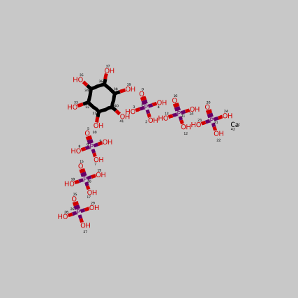 O=P(O)(O)O.O=P(O)(O)O.O=P(O)(O)O.O=P(O)(O)O.O=P(O)(O)O.O=P(O)(O)O.OC1C(O)C(O)C(O)C(O)C1O.[Ca]